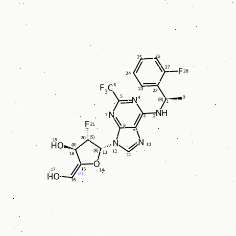 C[C@@H](Nc1nc(C(F)(F)F)nc2c1ncn2[C@@H]1O/C(=C/O)[C@@H](O)[C@@H]1F)c1ccccc1F